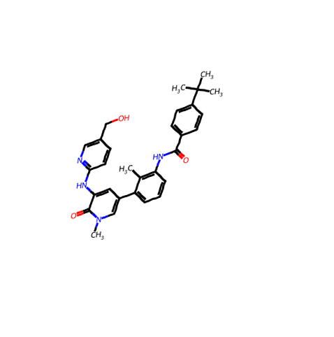 Cc1c(NC(=O)c2ccc(C(C)(C)C)cc2)cccc1-c1cc(Nc2ccc(CO)cn2)c(=O)n(C)c1